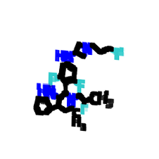 CC(F)CN1[C@H](c2c(F)cc(NC3CN(CCCF)C3)cc2F)c2[nH]c3ccccc3c2C[C@H]1C